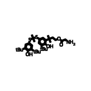 CC(C)(Sc1cc(C(C)(C)C)c(O)c(C(C)(C)C)c1)Sc1cc(C(C)(C)C)c(O)c(C(C)(C)CCOC(=O)CN)c1